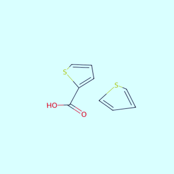 O=C(O)c1cccs1.c1ccsc1